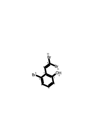 Oc1cccc(Br)c1C=C(Br)Br